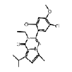 CCn1c(-c2cc(Cl)c(OC)cc2Cl)nn2c(C)cc(C(C)C)c2c1=O